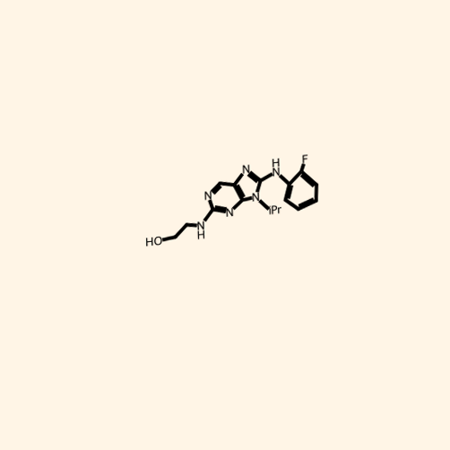 CC(C)n1c(Nc2ccccc2F)nc2cnc(NCCO)nc21